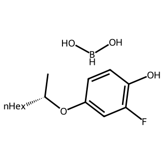 CCCCCC[C@H](C)Oc1ccc(O)c(F)c1.OBO